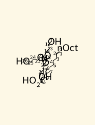 CCCCCCCCC=CCCCCCCCC(=O)O.OCCCON(OCCCO)OCCCO